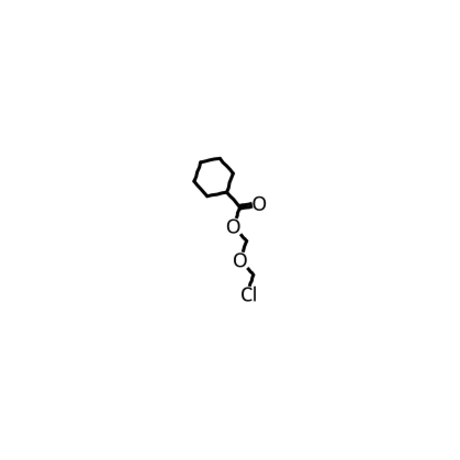 O=C(OCOCCl)C1CCCCC1